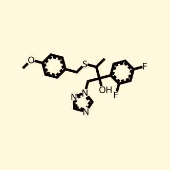 COc1ccc(CSC(C)C(O)(Cn2cncn2)c2ccc(F)cc2F)cc1